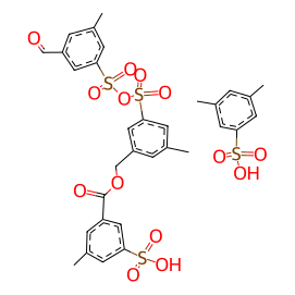 Cc1cc(C(=O)OCc2cc(C)cc(S(=O)(=O)OS(=O)(=O)c3cc(C)cc(C=O)c3)c2)cc(S(=O)(=O)O)c1.Cc1cc(C)cc(S(=O)(=O)O)c1